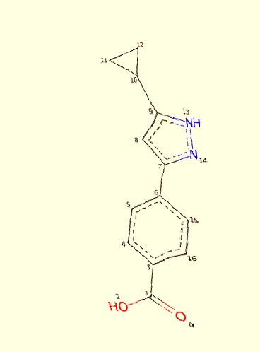 O=C(O)c1ccc(-c2cc(C3CC3)[nH]n2)cc1